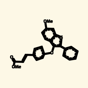 COC(=O)C=Cc1ccc(Oc2c(-c3ccccc3)sc3cc(OC)ccc23)cc1